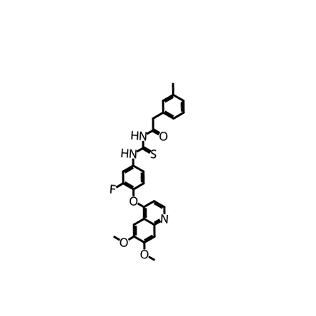 COc1cc2nccc(Oc3ccc(NC(=S)NC(=O)Cc4cccc(C)c4)cc3F)c2cc1OC